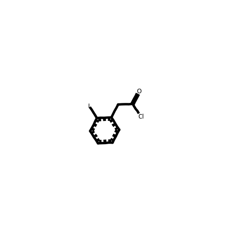 O=C(Cl)Cc1ccccc1I